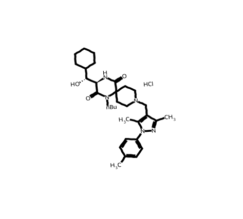 CCCCN1C(=O)[C@@H]([C@H](O)C2CCCCC2)NC(=O)C12CCN(Cc1c(C)nn(-c3ccc(C)cc3)c1C)CC2.Cl